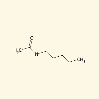 CCCCC[N]C(C)=O